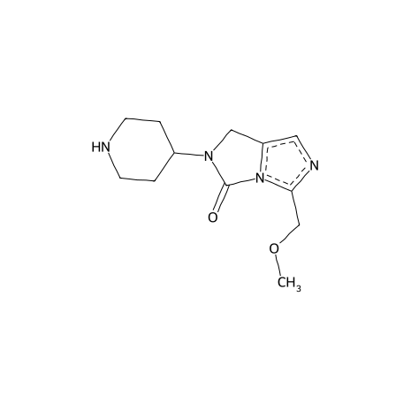 COCc1ncc2n1C(=O)N(C1CCNCC1)C2